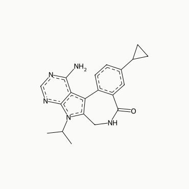 CC(C)n1c2c(c3c(N)ncnc31)-c1ccc(C3CC3)cc1C(=O)NC2